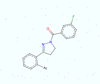 CC(=O)c1ccccc1C1=NN(C(=O)c2cccc(F)c2)CC1